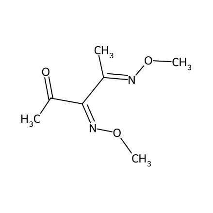 CO/N=C(C)/C(=N\OC)C(C)=O